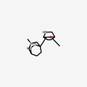 CN1CC2CCC(C3CN(C)C4CCC3NC4)(C1)ON2